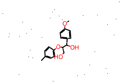 COc1ccc(C(O)C(CO)Oc2ccc(C)cc2)cc1